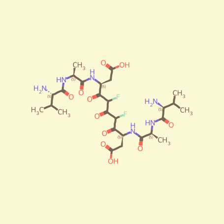 CC(C)[C@H](N)C(=O)N[C@@H](C)C(=O)N[C@@H](CC(=O)O)C(=O)C(F)C(=O)C(F)C(=O)[C@H](CC(=O)O)NC(=O)[C@H](C)NC(=O)[C@@H](N)C(C)C